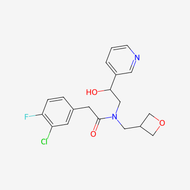 O=C(Cc1ccc(F)c(Cl)c1)N(CC1COC1)CC(O)c1cccnc1